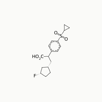 O=C(O)C(C[C@@H]1CC[C@H](F)C1)c1ccc(S(=O)(=O)C2CC2)cc1